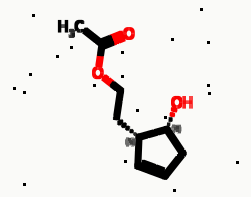 CC(=O)OCC[C@H]1C=CC[C@H]1O